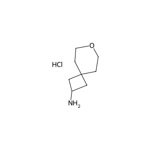 Cl.NC1CC2(CCOCC2)C1